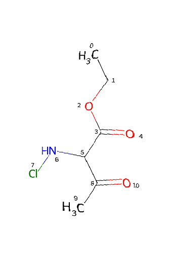 CCOC(=O)C(NCl)C(C)=O